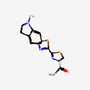 CNC(=O)[C@H]1CSC(c2nc3cc4c(cc3s2)N(C)CC4)=N1